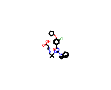 CC(C)(C)CNCCC(=O)O.Clc1cc(-c2nc(-n3c4cc5cc-4ccc53)no2)ccc1OC1CCCC1